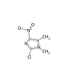 Cc1c([N+](=O)[O-])nc(Cl)n1C